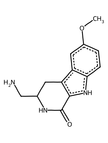 COc1ccc2[nH]c3c(c2c1)CC(CN)NC3=O